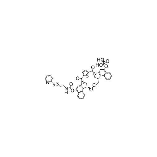 CC[C@@H]1CN(C(=O)c2ccc(C(=O)N3C[C@@H](CCl)c4c3cc(OP(=O)(O)O)c3ccccc43)s2)c2cc(OC(=O)NCCSSc3ccccn3)c3ccccc3c21